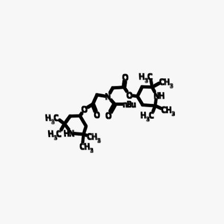 CCCCC(=O)N(CC(=O)OC1CC(C)(C)NC(C)(C)C1)CC(=O)OC1CC(C)(C)NC(C)(C)C1